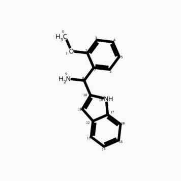 COc1ccccc1C(N)c1cc2ccccc2[nH]1